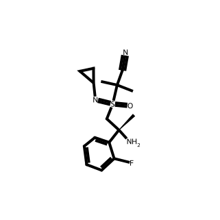 CC(C)(C#N)S(=O)(C[C@](C)(N)c1ccccc1F)=NC1CC1